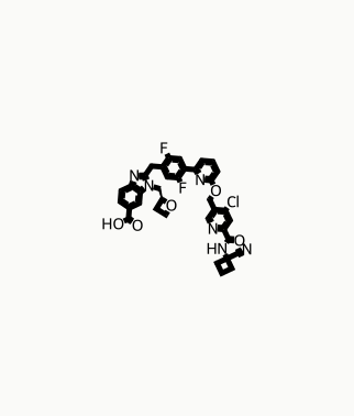 N#CC1(NC(=O)c2cc(Cl)c(COc3cccc(-c4cc(F)c(Cc5nc6ccc(C(=O)O)cc6n5C[C@@H]5CCO5)cc4F)n3)cn2)CCC1